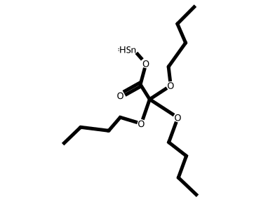 CCCCOC(OCCCC)(OCCCC)C(=O)[O][SnH]